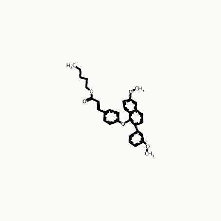 CCCCCOC(=O)C=Cc1ccc(Oc2c(-c3cccc(OC)c3)ccc3cc(OC)ccc23)cc1